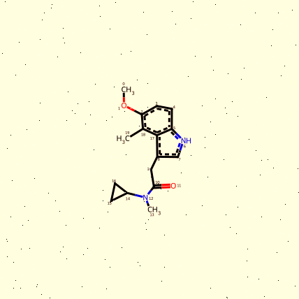 COc1ccc2[nH]cc(CC(=O)N(C)C3CC3)c2c1C